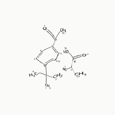 CC(C)(C)c1ccc(C(=O)O)cc1.CC(O)C(=O)O